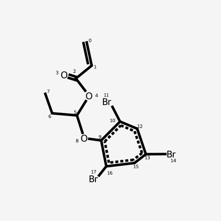 C=CC(=O)OC(CC)Oc1c(Br)cc(Br)cc1Br